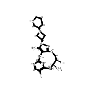 Cc1c2c(nn1C1CN(C3CCCOC3)C1)OC[C@@H](F)[C@@H](C)Nc1nc(ncc1Cl)N2